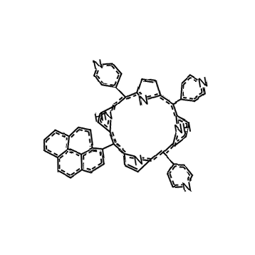 C1=Cc2nc1c(-c1ccncc1)c1ccc([nH]1)c(-c1ccncc1)c1nc(c(-c3ccc4ccc5cccc6ccc3c4c56)c3ccc([nH]3)c2-c2ccncc2)C=C1